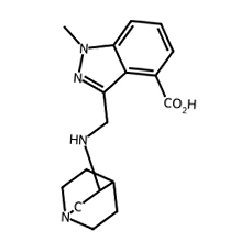 Cn1nc(CNC2CN3CCC2CC3)c2c(C(=O)O)cccc21